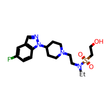 CCN(CCN1CCC(n2ncc3cc(F)ccc32)CC1)S(=O)(=O)CCO